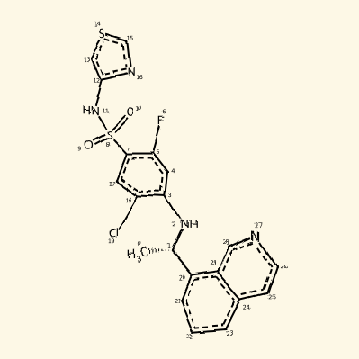 C[C@H](Nc1cc(F)c(S(=O)(=O)Nc2cscn2)cc1Cl)c1cccc2ccncc12